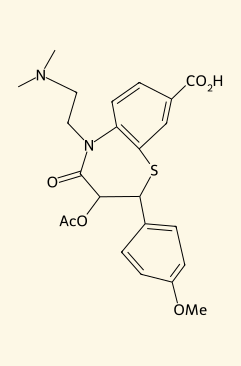 COc1ccc(C2Sc3cc(C(=O)O)ccc3N(CCN(C)C)C(=O)C2OC(C)=O)cc1